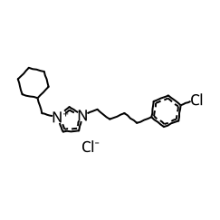 Clc1ccc(CCCCn2cc[n+](CC3CCCCC3)c2)cc1.[Cl-]